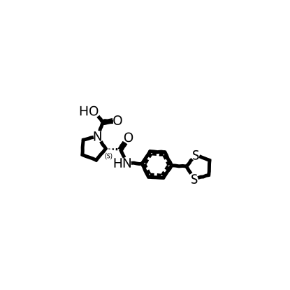 O=C(Nc1ccc(C2SCCS2)cc1)[C@@H]1CCCN1C(=O)O